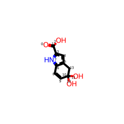 O=C(O)c1cc2c([nH]1)C=CC(O)(O)C2